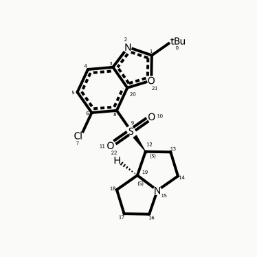 CC(C)(C)c1nc2ccc(Cl)c(S(=O)(=O)[C@H]3CCN4CCC[C@@H]34)c2o1